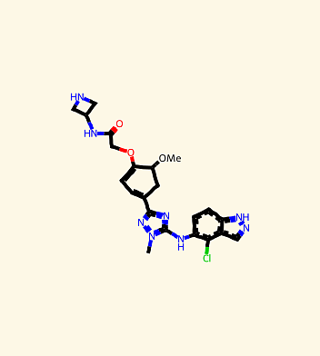 COC1CC(c2nc(Nc3ccc4[nH]ncc4c3Cl)n(C)n2)=CC=C1OCC(=O)NC1CNC1